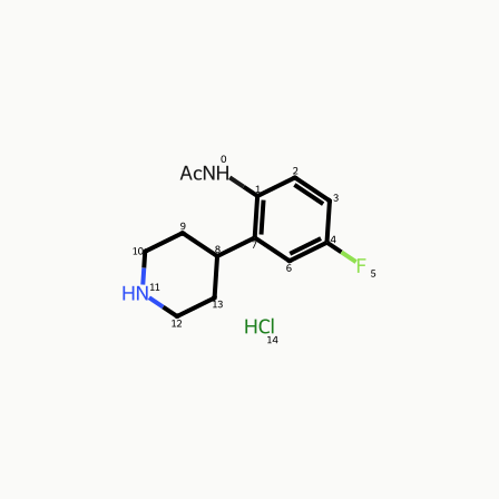 CC(=O)Nc1ccc(F)cc1C1CCNCC1.Cl